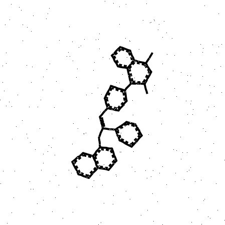 Cc1cc(C)c2ccccc2c1-c1ccc(/C=C(/Cc2cccc3ccccc23)c2ccccc2)cc1